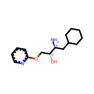 N[C@@H](CC1CCCCC1)[C@H](O)COc1ccccn1